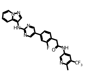 Cc1ncc(NC(=O)Cc2ccc(-c3cnc(Nc4cnn5ccccc45)nc3)cc2F)cc1C(F)(F)F